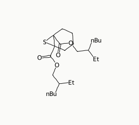 CCCCC(CC)COC(=O)C12CCCCC1(C(=O)OCC(CC)CCCC)S2